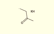 [CH2]CC(C)=O.[KH]